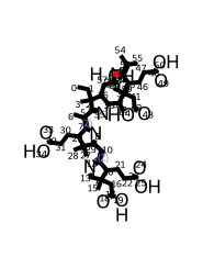 CCC1(C)C(/C(C)=C2N=C(/C=C3\N=CC(C)(CC(=O)O)C3CCC(=O)O)C(C)(C)C\2CCC(=O)O)=NC(C(C)C(C)(CC(=O)O)C(CCC(=O)O)C(N)=C(C)C)C1CC(=O)O